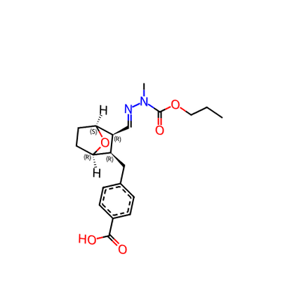 CCCOC(=O)N(C)N=C[C@H]1[C@@H](Cc2ccc(C(=O)O)cc2)[C@H]2CC[C@@H]1O2